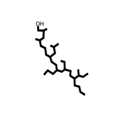 CCCCC(CCC(CC)CC(CCC)CCC(CCCC(C)CC(C)CO)CC(C)C)C(C)CC